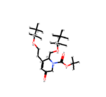 CC(C)(C)OC(=O)N1CC(=O)C=C(CCO[Si](C)(C)C(C)(C)C)C1CO[Si](C)(C)C(C)(C)C